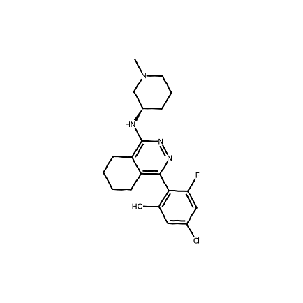 CN1CCC[C@@H](Nc2nnc(-c3c(O)cc(Cl)cc3F)c3c2CCCC3)C1